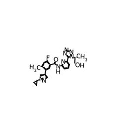 Cc1cc(F)c(C(=O)Nc2cccc(-c3nnnn3[C@H](C)CO)n2)cc1-c1cnn(C2CC2)c1